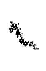 CCc1nc2c(cnn2CC)c(NC2CCOCC2)c1CNC(=O)c1cccc(C(=O)NCc2ccc(C)c(-c3cccc(CN4CCN(C(=O)OC(C)(C)C)[C@@H](C)C4)c3)c2)c1